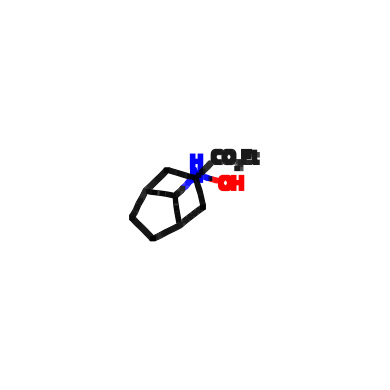 CCOC(=O)C1CC2CCC(C1)C2NO